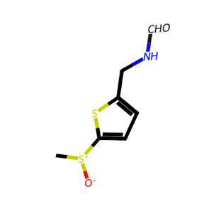 C[S+]([O-])c1ccc(CNC=O)s1